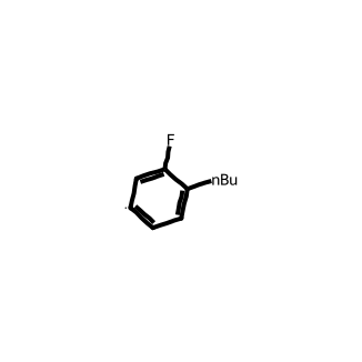 CCCCc1cc[c]cc1F